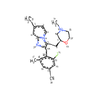 Cc1ccn2c(C[C@H]3CN(C)CCO3)c(-c3c(C)cc(C#N)cc3F)nc2c1